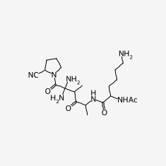 CC(=O)NC(CCCCN)C(=O)NC(C)C(=O)C(C)C(N)(N)C(=O)N1CCCC1C#N